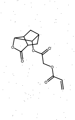 C=CC(=O)OCC(=O)OC1C2CC3C(=O)OC1C3C2